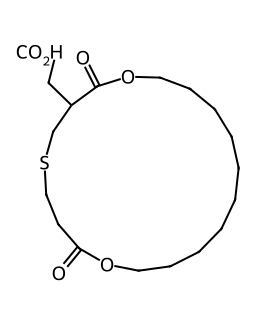 O=C(O)CC1CSCCC(=O)OCCCCCCCCCCOC1=O